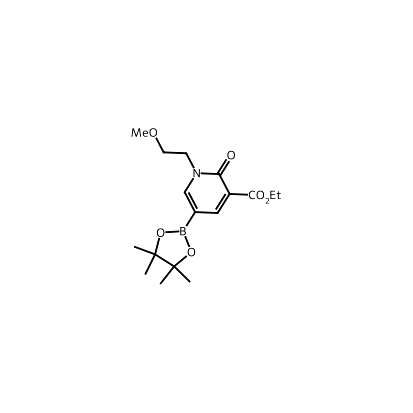 CCOC(=O)c1cc(B2OC(C)(C)C(C)(C)O2)cn(CCOC)c1=O